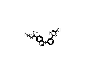 CC(N=[N+]=[N-])c1ccc2c(c1)ncn2-c1cccc(-c2ncc(Cl)s2)c1